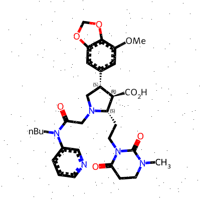 CCCCN(C(=O)CN1C[C@H](c2cc(OC)c3c(c2)OCO3)[C@@H](C(=O)O)[C@@H]1CCN1C(=O)CCN(C)C1=O)c1cccnc1